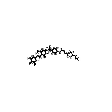 C/C=C/C1COC(C/C=C\Cc2ccc(C(F)(F)Oc3cc(F)c(/C(F)=C(\F)c4cc(F)c(F)c(F)c4)c(F)c3)cc2)OC1